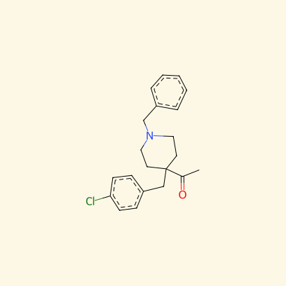 CC(=O)C1(Cc2ccc(Cl)cc2)CCN(Cc2ccccc2)CC1